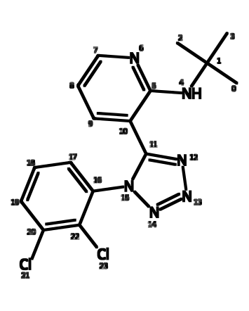 CC(C)(C)Nc1ncccc1-c1nnnn1-c1cccc(Cl)c1Cl